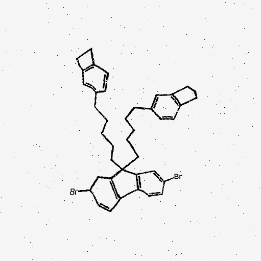 Brc1ccc2c(c1)C(CCCCCc1ccc3c(c1)CC3)(CCCCCc1ccc3c(c1)CC3)C1=C2C=CC(Br)C1